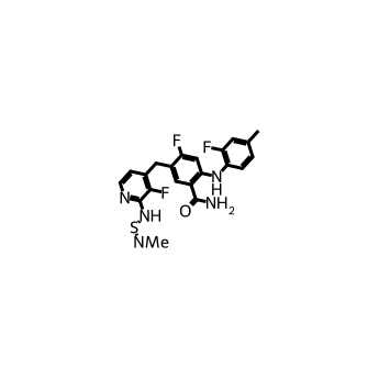 CNSNc1nccc(Cc2cc(C(N)=O)c(Nc3ccc(C)cc3F)cc2F)c1F